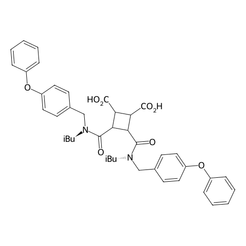 CC[C@@H](C)N(Cc1ccc(Oc2ccccc2)cc1)C(=O)C1C(C(=O)O)C(C(=O)O)C1C(=O)N(Cc1ccc(Oc2ccccc2)cc1)[C@H](C)CC